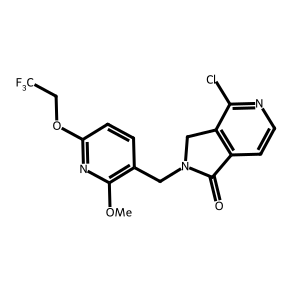 COc1nc(OCC(F)(F)F)ccc1CN1Cc2c(ccnc2Cl)C1=O